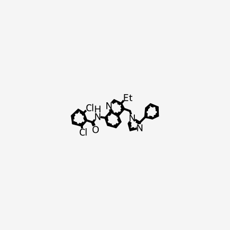 CCc1cnc2c(NC(=O)c3c(Cl)cccc3Cl)cccc2c1Cn1ccnc1-c1ccccc1